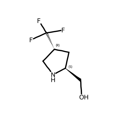 OC[C@@H]1C[C@@H](C(F)(F)F)CN1